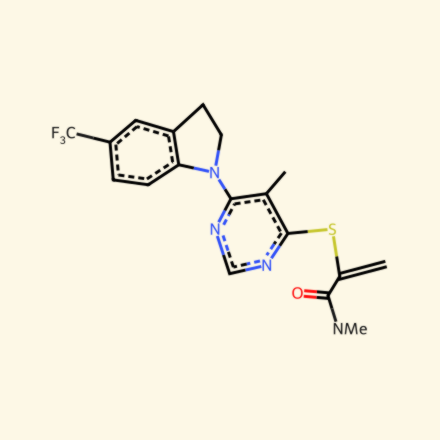 C=C(Sc1ncnc(N2CCc3cc(C(F)(F)F)ccc32)c1C)C(=O)NC